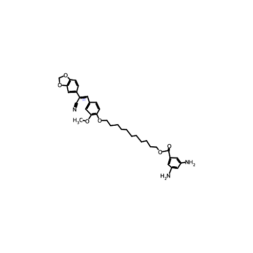 COc1cc(/C=C(\C#N)c2ccc3c(c2)OCO3)ccc1OCCCCCCCCCCCOC(=O)c1cc(N)cc(N)c1